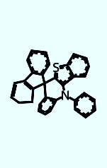 C1=CC2=C(CC1)C1(c3ccccc32)c2ccccc2N(c2ccccc2)c2c1sc1ccccc21